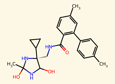 Cc1ccc(-c2cc(C)ccc2C(=O)NC[C@@]2(C3CC3)NC(C)(O)NC2O)cc1